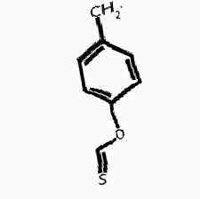 [CH2]c1ccc(OC=S)cc1